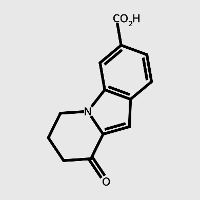 O=C(O)c1ccc2cc3n(c2c1)CCCC3=O